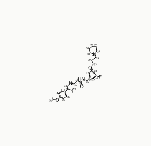 CCOc1ccc(-c2ccc(CC(=O)NCc3cc(F)cc(OCCCN4CCCCC4)c3)nc2)cc1